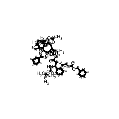 CC(=O)O[C@H]1C(=O)[C@]23C[C@H]2C[C@H]2OC[C@@]2(OC(C)=O)[C@H]3[C@H](OC(=O)c2ccccc2)[C@]2(O)CC(OC(=O)[C@H](OC(=O)CNC(=O)OCc3ccccc3)[C@@H](NC(=O)OC(C)(C)C)c3ccccc3)C(C)=C1C2(C)C